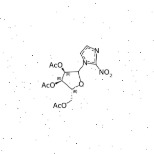 CC(=O)OC[C@H]1OC(n2ccnc2[N+](=O)[O-])[C@H](OC(C)=O)[C@@H]1OC(C)=O